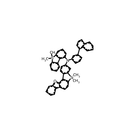 C[Si]1(C)c2cc(N(c3cccc(-c4cccc5ccccc45)c3)c3cccc4c3-c3ccccc3S4(C)C)ccc2-c2c1ccc1c2oc2ccccc21